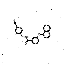 N#Cc1ccc(CNC(=O)c2cccc(Oc3ccnc4ccccc34)c2)cc1